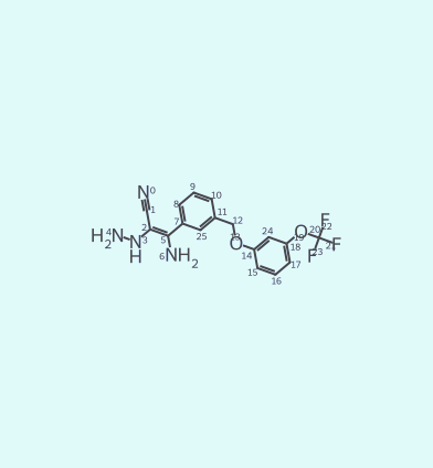 N#C/C(NN)=C(/N)c1cccc(COc2cccc(OC(F)(F)F)c2)c1